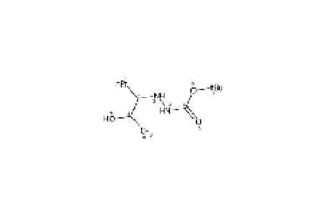 CCCC(NNC(=O)OC(C)(C)C)C(O)C(F)(F)F